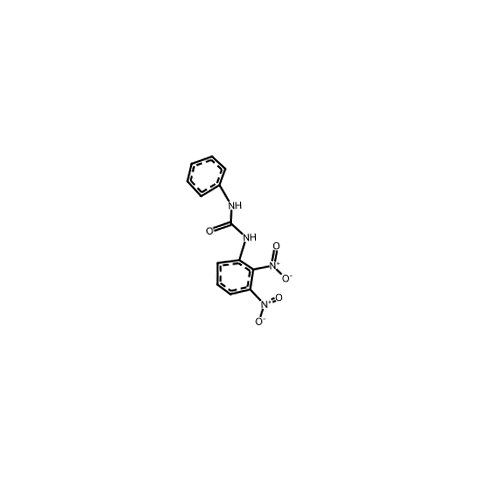 O=C(Nc1ccccc1)Nc1cccc([N+](=O)[O-])c1[N+](=O)[O-]